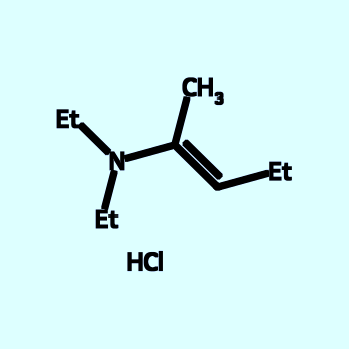 CC/C=C(\C)N(CC)CC.Cl